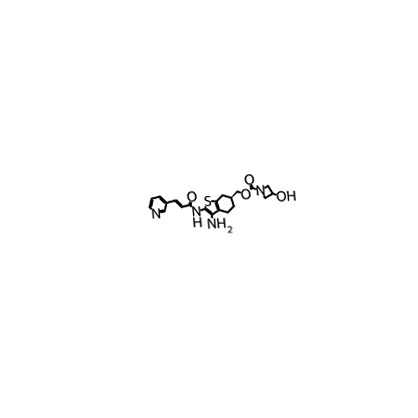 Nc1c(NC(=O)/C=C/c2cccnc2)sc2c1CC[C@H](COC(=O)N1CC(O)C1)C2